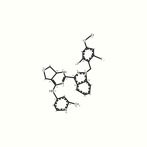 CCOc1cc(F)c(Cn2nc(C3=NC(Nc4ccnc(C)c4)=C4COCC4N3)c3ccccc32)c(F)c1